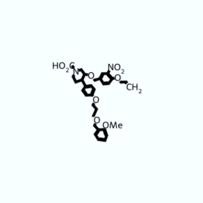 C=CCOc1ccc(COC2CN(C(=O)O)CCC2c2ccc(OCCCOCc3ccccc3OC)cc2)cc1[N+](=O)[O-]